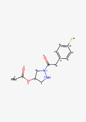 CCCCC(=O)OC1CNN(C(=O)Cc2ccc(F)cc2)C1